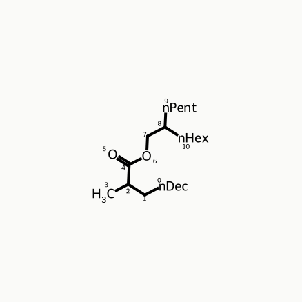 CCCCCCCCCCCC(C)C(=O)OCC(CCCCC)CCCCCC